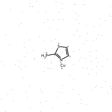 Pc1nccs1.[Cu]